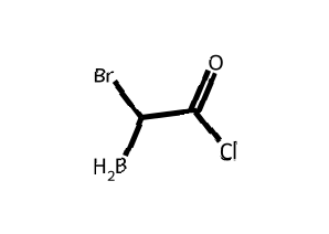 BC(Br)C(=O)Cl